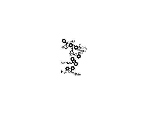 CC(NC(C)(C)C)C(=O)c1cccc(Cl)c1.CCOc1ccccc1OCC1CNCCO1.CCOc1ccccc1O[C@H](c1ccccc1)[C@H]1CNCCO1.CNCCCC12CCC(c3ccccc31)c1ccccc12.CNCC[C@@H](Oc1ccccc1C)c1ccccc1